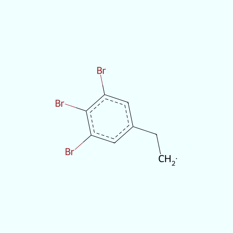 [CH2]Cc1cc(Br)c(Br)c(Br)c1